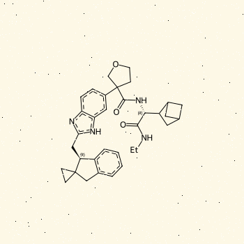 CCNC(=O)[C@H](NC(=O)C1(c2ccc3nc(C[C@H]4c5ccccc5CC45CC5)[nH]c3c2)CCOC1)C1CC2CC1C2